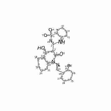 O=c1c(C2=NS(=O)(=O)c3ccccc3N2)c(O)c2ccccc2n1/N=C/c1ccccc1Br